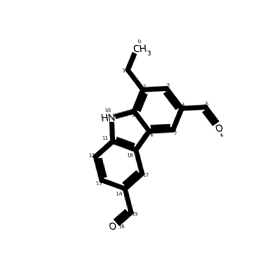 CCc1cc(C=O)cc2c1[nH]c1ccc(C=O)cc12